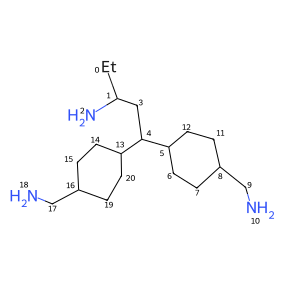 CCC(N)CC(C1CCC(CN)CC1)C1CCC(CN)CC1